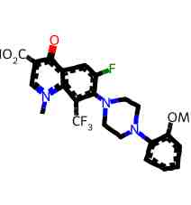 COc1ccccc1N1CCN(c2c(F)cc3c(=O)c(C(=O)O)cn(C)c3c2C(F)(F)F)CC1